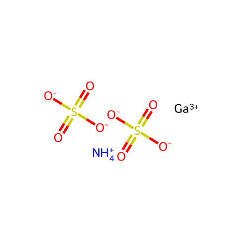 O=S(=O)([O-])[O-].O=S(=O)([O-])[O-].[Ga+3].[NH4+]